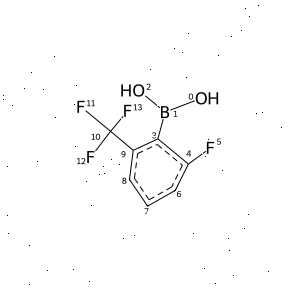 OB(O)c1c(F)cccc1C(F)(F)F